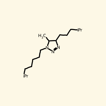 CC(C)CCCCCN1N=NC(CCCC(C)C)C1C